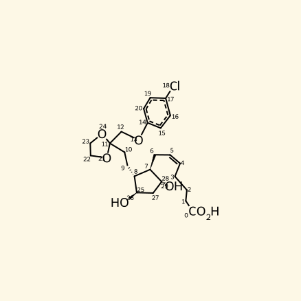 O=C(O)CCC/C=C\C[C@@H]1[C@@H](CCC2(COc3ccc(Cl)cc3)OCCO2)[C@H](O)C[C@H]1O